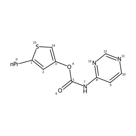 CCCc1cc(OC(=O)Nc2ccncn2)cs1